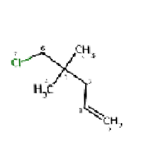 C=CCC(C)(C)CCl